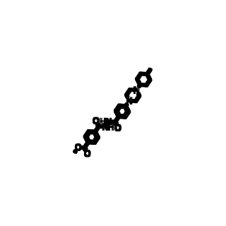 COC(=O)c1ccc(C(=O)NNC(=O)c2ccc(N3CCN(C4CCC(C)CC4)CC3)cc2)cc1